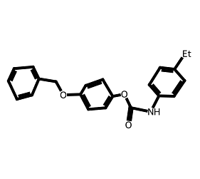 CCc1ccc(NC(=O)Oc2ccc(OCc3ccccc3)cc2)cc1